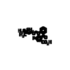 C[Si](C)(C)CCOCOc1ccccc1C(=O)N1C=C(F)C[C@H]1C(=O)O